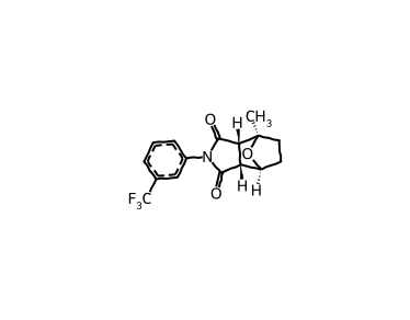 C[C@]12CC[C@H](O1)[C@@H]1C(=O)N(c3cccc(C(F)(F)F)c3)C(=O)[C@@H]12